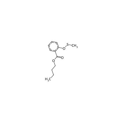 CCCCOC(=O)c1ccccc1OSC